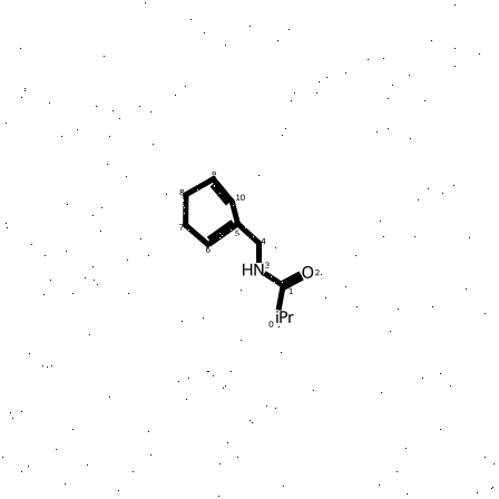 CC(C)C(=O)NCC1=CCCC=C1